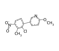 COc1ccc(-c2ccc([N+](=O)[O-])c(C)c2Cl)cn1